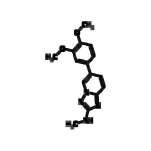 CNc1nc2ccc(-c3ccc(OC)c(OC)c3)cn2n1